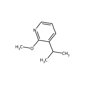 COc1ncccc1[C](C)C